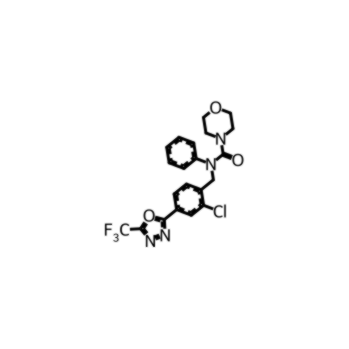 O=C(N1CCOCC1)N(Cc1ccc(-c2nnc(C(F)(F)F)o2)cc1Cl)c1ccccc1